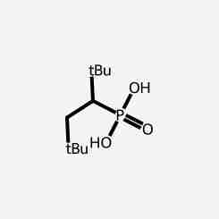 CC(C)(C)CC(C(C)(C)C)P(=O)(O)O